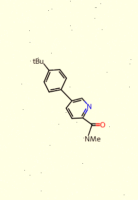 CNC(=O)c1ccc(-c2ccc(C(C)(C)C)cc2)cn1